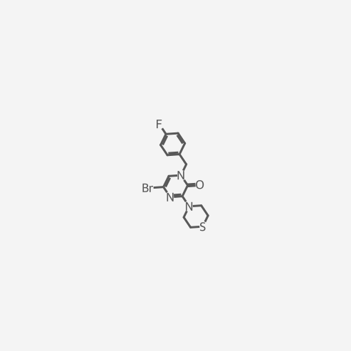 O=c1c(N2CCSCC2)nc(Br)cn1Cc1ccc(F)cc1